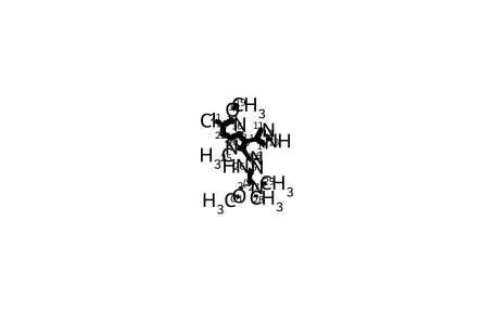 COC[C@H](c1nnc(-c2c(-c3cn[nH]c3)c3nc(OC)c(Cl)cc3n2C)[nH]1)N(C)C